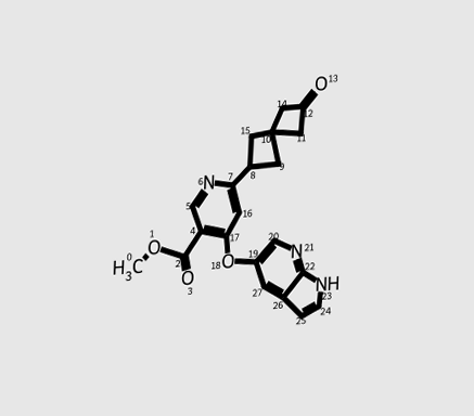 COC(=O)c1cnc(C2CC3(CC(=O)C3)C2)cc1Oc1cnc2[nH]ccc2c1